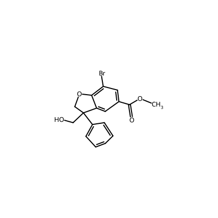 COC(=O)c1cc(Br)c2c(c1)C(CO)(c1ccccc1)CO2